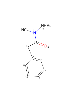 CC(=O)NN(C#N)C(=O)Cc1ccccc1